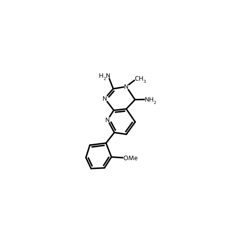 COc1ccccc1-c1ccc2c(n1)N=C(N)N(C)C2N